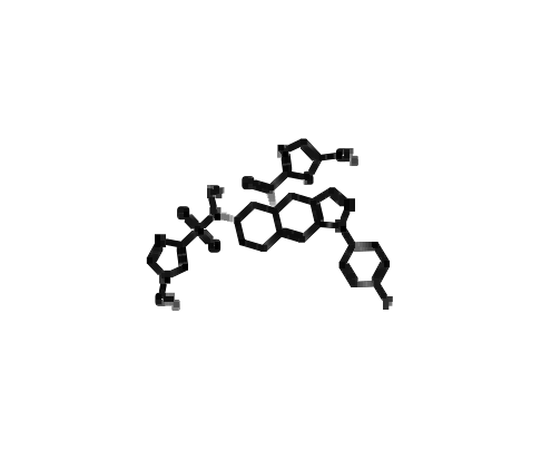 CC(C)N([C@H]1CCC2=Cc3c(cnn3-c3ccc(F)cc3)C[C@]2(C(=O)c2ncc(C(F)(F)F)s2)C1)S(=O)(=O)c1cn(C)cn1